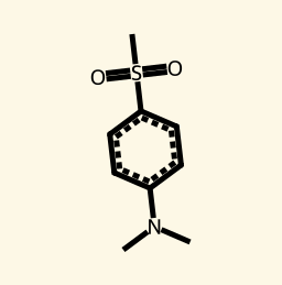 CN(C)c1ccc(S(C)(=O)=O)cc1